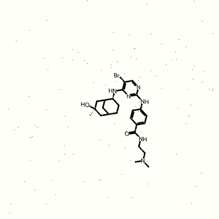 CN(C)CCNC(=O)c1ccc(Nc2ncc(Br)c(N[C@H]3CCC4CC3C[C@](C)(O)C4)n2)cc1